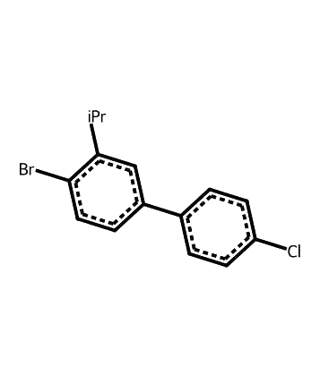 CC(C)c1cc(-c2ccc(Cl)cc2)ccc1Br